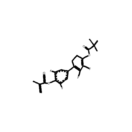 C=C(C)C(=O)Oc1c(F)cc(C2=C(F)C(F)=C(OC(=O)C(C)(C)C)CC2)cc1F